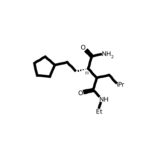 CCNC(=O)C(CC(C)C)[C@H](CCC1CCCC1)C(N)=O